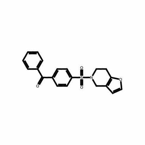 O=C(c1ccccc1)c1ccc(S(=O)(=O)N2CCc3occc3C2)cc1